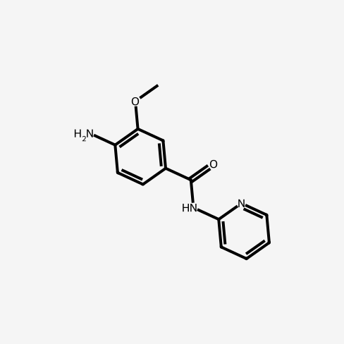 COc1cc(C(=O)Nc2ccccn2)ccc1N